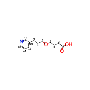 O=C(O)CCCOCCCc1cccnc1